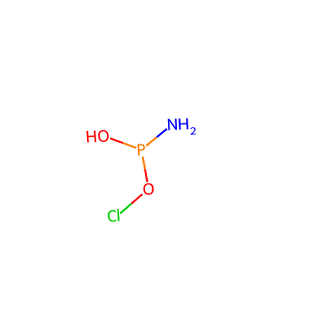 NP(O)OCl